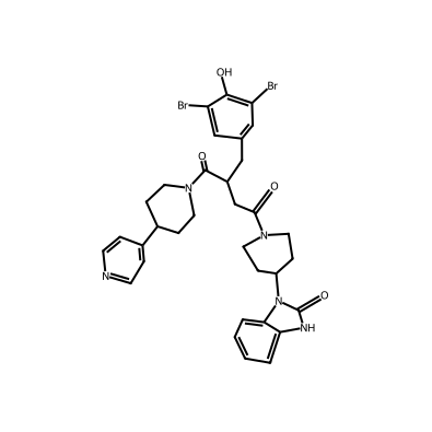 O=C(CC(Cc1cc(Br)c(O)c(Br)c1)C(=O)N1CCC(c2ccncc2)CC1)N1CCC(n2c(=O)[nH]c3ccccc32)CC1